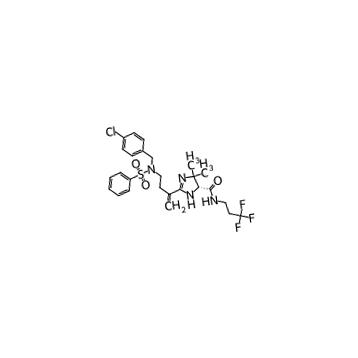 C=C(CCN(Cc1ccc(Cl)cc1)S(=O)(=O)c1ccccc1)C1=NC(C)(C)[C@H](C(=O)NCCC(F)(F)F)N1